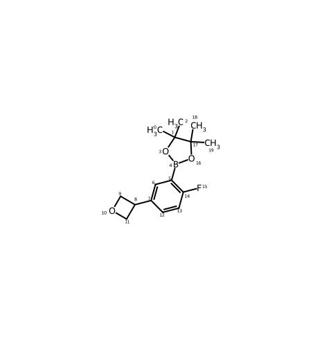 CC1(C)OB(c2cc(C3COC3)ccc2F)OC1(C)C